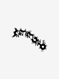 Cc1cc(C)n2cc(Cn3cc(Cn4ccc5nc(-c6ccccc6F)nc-5c4)nn3)nc2n1